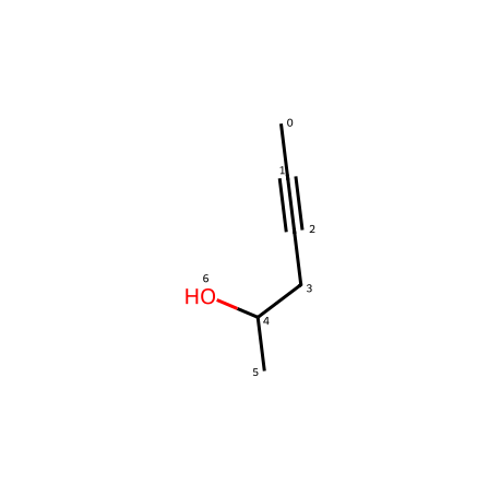 CC#CCC(C)O